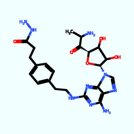 CC(N)C(=O)[C@H]1O[C@@H](n2cnc3c(N)nc(NCCc4ccc(CCC(=O)NN)cc4)nc32)C(O)C1O